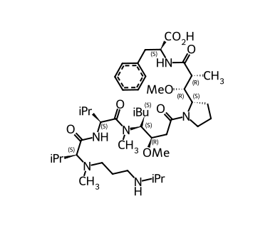 CC[C@H](C)[C@@H]([C@@H](CC(=O)N1CCC[C@H]1[C@H](OC)[C@@H](C)C(=O)N[C@@H](Cc1ccccc1)C(=O)O)OC)N(C)C(=O)[C@@H](NC(=O)[C@H](C(C)C)N(C)CCCNC(C)C)C(C)C